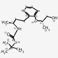 C[C@@H](CCc1ncccc1O[C@@H](C)CO)NC(=O)OC(C)(C)C